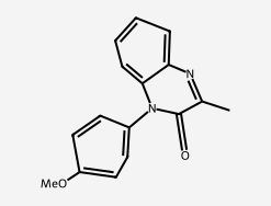 COc1ccc(-n2c(=O)c(C)nc3ccccc32)cc1